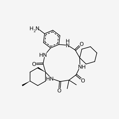 CC1(C)C(=O)NC2(CCCCC2)C(=O)Nc2ccc(N)cc2NC(=O)[C@]2(CC[C@H](C)CC2)NC1=O